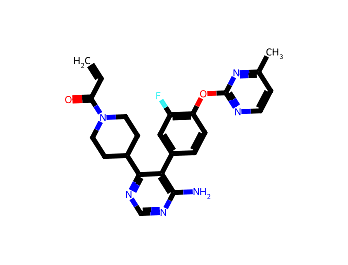 C=CC(=O)N1CCC(c2ncnc(N)c2-c2ccc(Oc3nccc(C)n3)c(F)c2)CC1